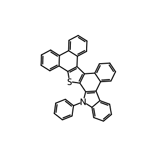 c1ccc(-n2c3ccccc3c3c4ccccc4c4c(sc5c6ccccc6c6ccccc6c54)c32)cc1